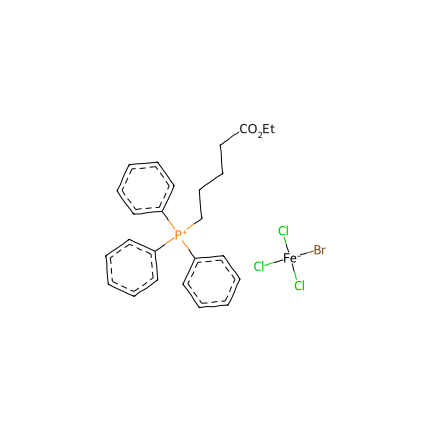 CCOC(=O)CCCC[P+](c1ccccc1)(c1ccccc1)c1ccccc1.[Cl][Fe-]([Cl])([Cl])[Br]